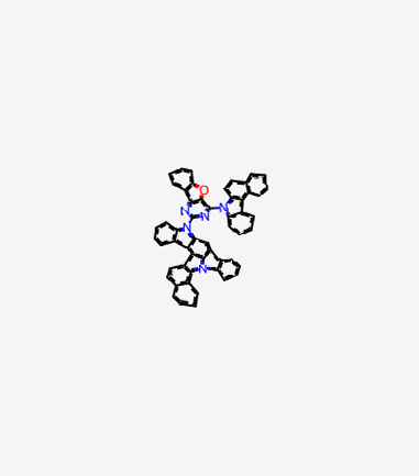 c1ccc2c(c1)ccc1c2c2ccccc2n1-c1nc(-n2c3ccccc3c3c4c5ccc6ccccc6c5n5c6ccccc6c(cc32)c45)nc2c1oc1ccccc12